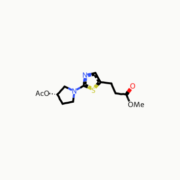 COC(=O)CCc1cnc(N2CC[C@H](OC(C)=O)C2)s1